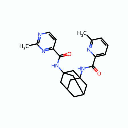 Cc1cccc(C(=O)NC23CC4CC(C2)CC(NC(=O)c2ccnc(C)n2)(C4)C3)n1